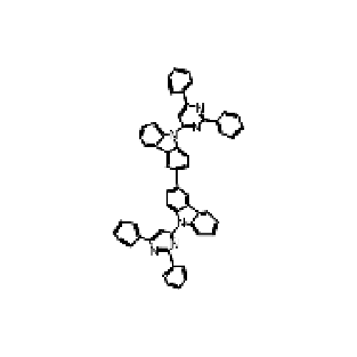 c1ccc(-c2cc(-n3c4ccccc4c4cc(-c5ccc6c(c5)c5ccccc5n6-c5cc(-c6ccccc6)nc(-c6ccccc6)n5)ccc43)nc(-c3ccccc3)n2)cc1